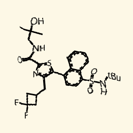 CC(C)(O)CNC(=O)c1nc(CC2CC(F)(F)C2)c(-c2ccc(S(=O)(=O)NC(C)(C)C)c3ccccc23)s1